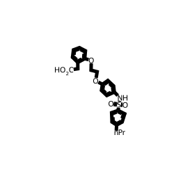 CCCc1ccc(S(=O)(=O)Nc2ccc(OCCOc3ccccc3CC(=O)O)cc2)cc1